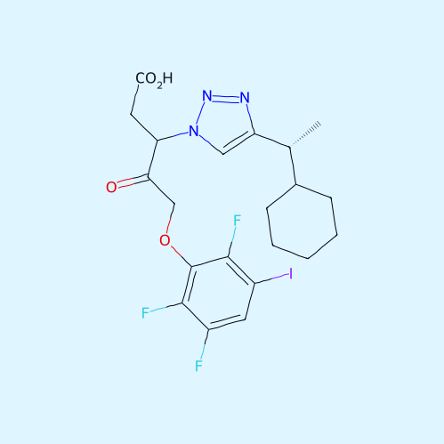 C[C@@H](c1cn(C(CC(=O)O)C(=O)COc2c(F)c(F)cc(I)c2F)nn1)C1CCCCC1